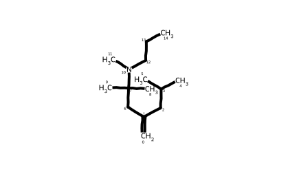 C=C(CC(C)C)CC(C)(C)N(C)CCC